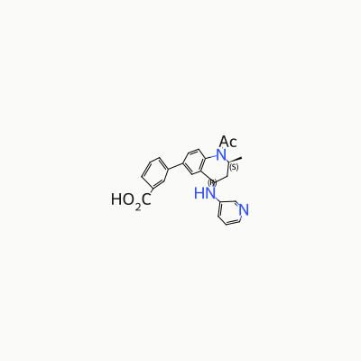 CC(=O)N1c2ccc(-c3cccc(C(=O)O)c3)cc2[C@H](Nc2cccnc2)C[C@@H]1C